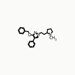 CN1CCCC1CCn1cc(-c2ccccc2)c(OCc2ccccc2)n1